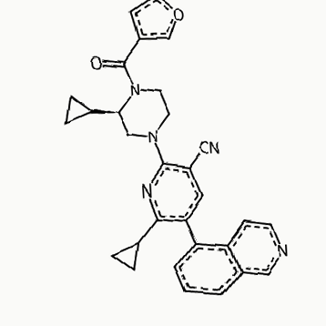 N#Cc1cc(-c2cccc3cnccc23)c(C2CC2)nc1N1CCN(C(=O)c2ccoc2)[C@H](C2CC2)C1